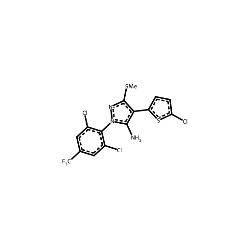 CSc1nn(-c2c(Cl)cc(C(F)(F)F)cc2Cl)c(N)c1-c1ccc(Cl)s1